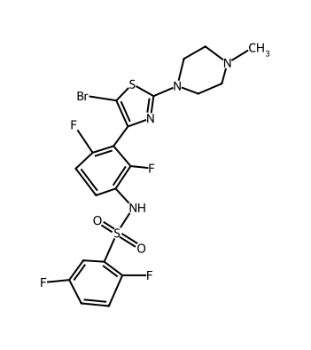 CN1CCN(c2nc(-c3c(F)ccc(NS(=O)(=O)c4cc(F)ccc4F)c3F)c(Br)s2)CC1